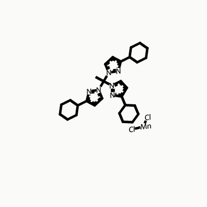 CC(n1ccc(C2CCCCC2)n1)(n1ccc(C2CCCCC2)n1)n1ccc(C2CCCCC2)n1.[Cl][Mn][Cl]